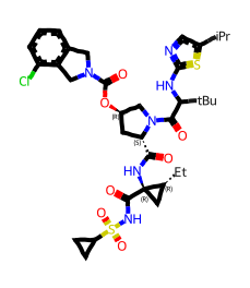 CC[C@@H]1C[C@]1(NC(=O)[C@@H]1C[C@@H](OC(=O)N2Cc3cccc(Cl)c3C2)CN1C(=O)C(Nc1ncc(C(C)C)s1)C(C)(C)C)C(=O)NS(=O)(=O)C1CC1